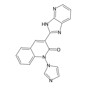 O=c1c(-c2nc3cccnc3[nH]2)cc2ccccc2n1-n1ccnc1